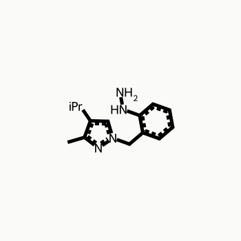 Cc1nn(Cc2ccccc2NN)cc1C(C)C